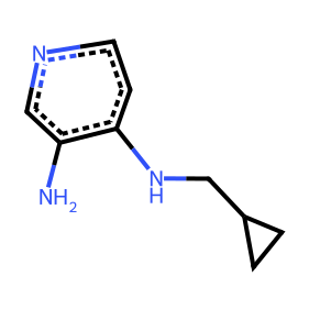 Nc1cnccc1NCC1CC1